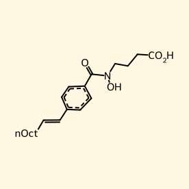 CCCCCCCC/C=C/c1ccc(C(=O)N(O)CCCC(=O)O)cc1